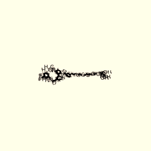 CCN(CC)c1ccc(NC(=O)c2cccc(CCCOCCOCCOCCOCCOCC(CO)(CO)CO)c2)c(-c2cc(C3OC3NCc3cccc(C(F)(F)F)c3)ccn2)c1